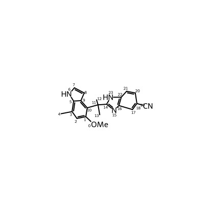 COc1cc(C)c2[nH]ccc2c1C(C)(C)c1nc2cc(C#N)ccc2[nH]1